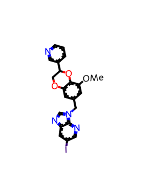 COc1cc(Cn2cnc3cc(I)cnc32)cc2c1OC(c1cccnc1)CO2